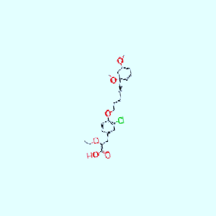 CCO[C@@H](Cc1ccc(OC/C=C/C#CC2(OC)C=CC=C(OC)C2)c(Cl)c1)C(=O)O